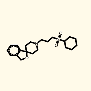 O=S(=O)(CCCN1CCC2(CC1)OCc1ccccc12)C1CCCCC1